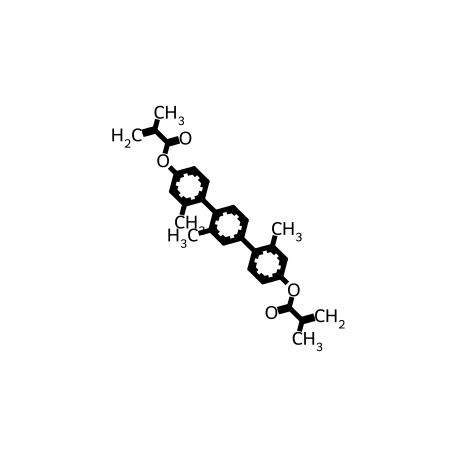 C=C(C)C(=O)Oc1ccc(-c2ccc(-c3ccc(OC(=O)C(=C)C)cc3C)c(C)c2)c(C)c1